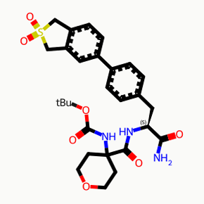 CC(C)(C)OC(=O)NC1(C(=O)N[C@@H](Cc2ccc(-c3ccc4c(c3)CS(=O)(=O)C4)cc2)C(N)=O)CCOCC1